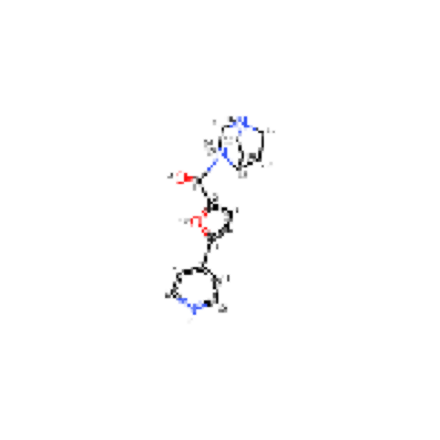 O=C(c1ccc(-c2ccncc2)o1)N1CCN2CCC1CC2